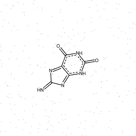 N=C1N=c2[nH]c(=O)[nH]c(=O)c2=N1